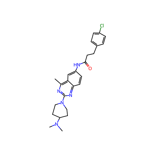 Cc1nc(N2CCC(N(C)C)CC2)nc2ccc(NC(=O)CCc3ccc(Cl)cc3)cc12